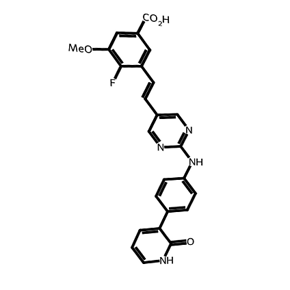 COc1cc(C(=O)O)cc(C=Cc2cnc(Nc3ccc(-c4ccc[nH]c4=O)cc3)nc2)c1F